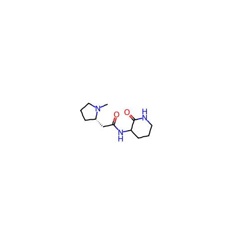 CN1CCC[C@H]1CC(=O)NC1CCCNC1=O